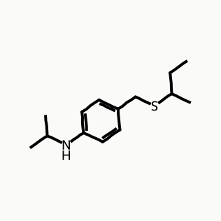 CCC(C)SCc1ccc(NC(C)C)cc1